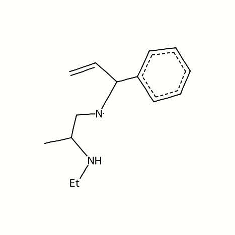 C=CC([N]CC(C)NCC)c1ccccc1